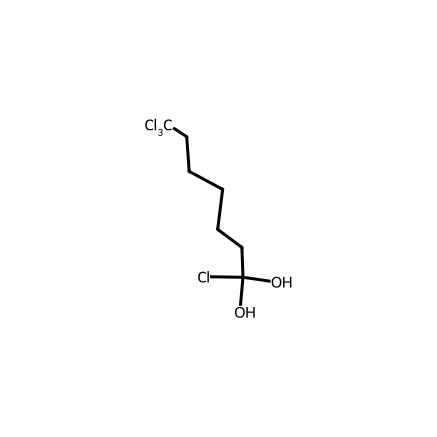 OC(O)(Cl)CCCCCC(Cl)(Cl)Cl